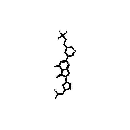 CC1C=C(C2C=NCC(OCC(F)(F)F)C2)N=C2CN(C3C=NN(CC(F)F)C3)C(=O)C21